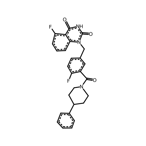 O=C(c1cc(Cn2c(=O)[nH]c(=O)c3c(F)cccc32)ccc1F)N1CCC(c2ccccc2)CC1